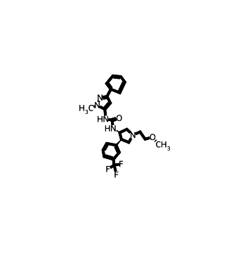 COCCN1C[C@@H](NC(=O)Nc2cc(-c3ccccc3)nn2C)[C@H](c2cccc(C(F)(F)F)c2)C1